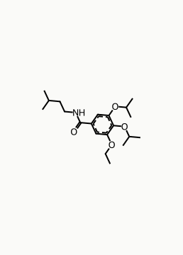 CCOc1cc(C(=O)NCCC(C)C)cc(OC(C)C)c1OC(C)C